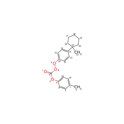 Cc1ccc(OC(=O)OOc2ccc(C3(C)CCCCC3)cc2)cc1